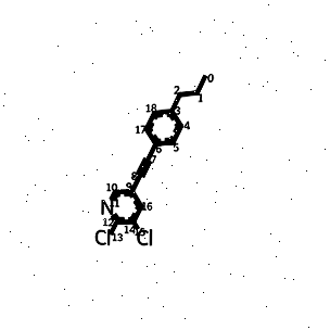 CCCc1ccc(C#Cc2cnc(Cl)c(Cl)c2)cc1